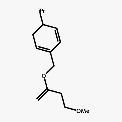 C=C(CCOC)OCC1=CCC(C(C)C)C=C1